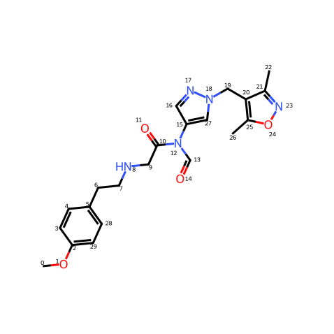 COc1ccc(CCNCC(=O)N(C=O)c2cnn(Cc3c(C)noc3C)c2)cc1